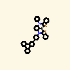 c1ccc(N2c3cccc4c3B(c3sc5ccccc5c32)c2sc3ccccc3c2N4c2ccc(-c3ccc4c5ccccc5c5ccccc5c4c3)cc2)cc1